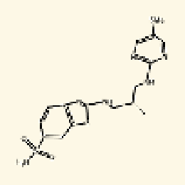 CSc1cnc(NC[C@H](C)CNc2nc3ccc(S(N)(=O)=O)cc3s2)nc1